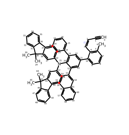 C#C/C=C\c1c(C)cccc1-c1cc(-c2ccccc2)c(N(c2ccc3c(c2)C(C)(C)c2ccccc2-3)c2ccc3c(c2)C(C)(C)c2ccccc2-3)c(-c2ccc3ccccc3c2)c1